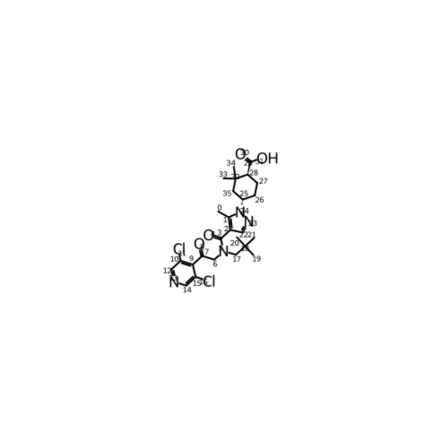 Cc1c(C(=O)N(CC(=O)c2c(Cl)cncc2Cl)CC(C)(C)C)cnn1[C@H]1CC[C@H](C(=O)O)C(C)(C)C1